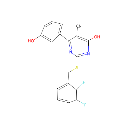 N#Cc1c(O)nc(SCc2cccc(F)c2F)nc1-c1cccc(O)c1